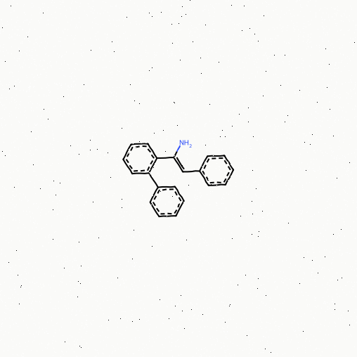 NC(=Cc1ccccc1)c1ccccc1-c1ccccc1